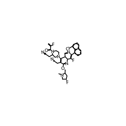 C=C(F)C(=O)N1CCN(C2=C(CC#N)C(OCC3C[C@@H](F)CN3C)=NC3C(F)=C(c4cccc5cccc(Cl)c45)N=CC23)CC1CC#N